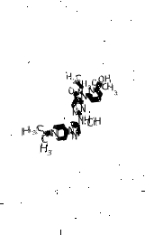 C=CCn1c(=O)c2cnc(Nc3cnn(C4CCN(C(C)C)CC4)c3)nc2n1-c1cccc(C(C)(C)O)n1.Cl